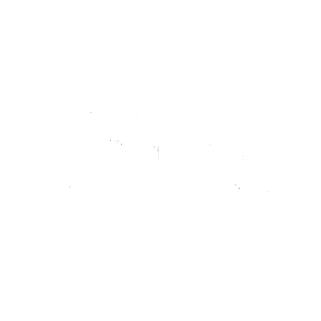 O=C(NCc1ccc(N2CCCCC2)c(C(F)(F)F)c1)Nc1cccc2c1CC(O)CC2